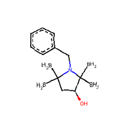 BC1(B)C[C@H](O)C(B)(B)N1Cc1ccccc1